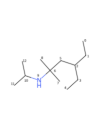 CCC(CC)CC(C)(C)NC(C)C